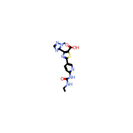 CCNC(=O)Nc1ccc(-c2nc(-c3ncnn3C)c(C(=O)O)s2)cn1